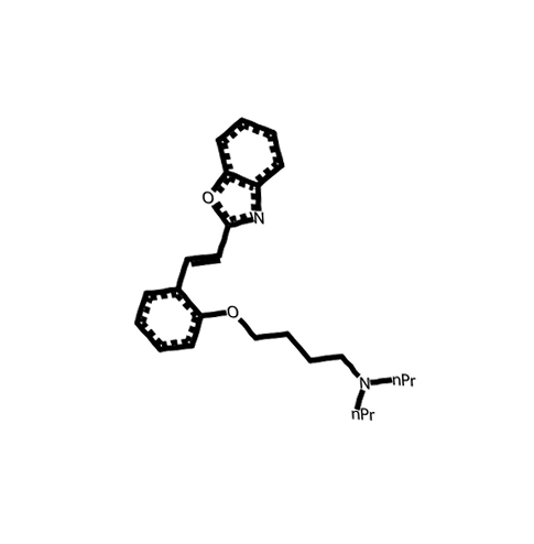 CCCN(CCC)CCCCOc1ccccc1/C=C/c1nc2ccccc2o1